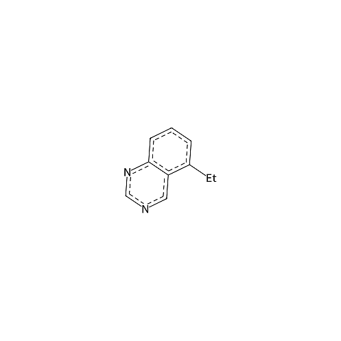 [CH2]Cc1cccc2ncncc12